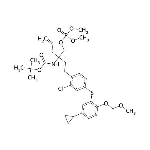 C=CCC(CCc1ccc(Sc2cc(C3CC3)ccc2OCOC)cc1Cl)(COP(=O)(OC)OC)NC(=O)OC(C)(C)C